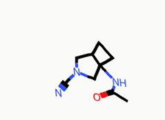 CC(=O)NC12CCC1CN(C#N)C2